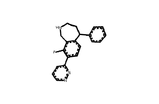 Fc1c(-c2cccnn2)ccc2c1CNCCC2c1ccccc1